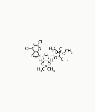 COP(=O)(OC)C(C)OC[C@H]1O[C@@H](n2cnc3c(Cl)nc(Cl)nc32)[C@@H]2OC(C)(C)O[C@@H]21